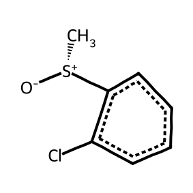 C[S@@+]([O-])c1ccccc1Cl